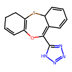 C1=CC2=C(c3nnn[nH]3)OC3=C(CCC=C3)SC2C=C1